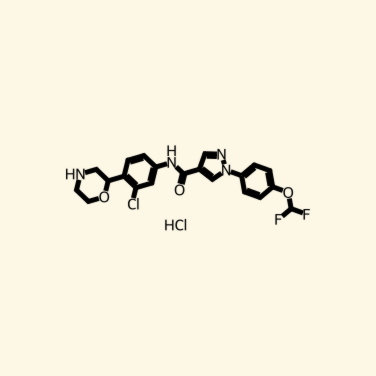 Cl.O=C(Nc1ccc(C2CNCCO2)c(Cl)c1)c1cnn(-c2ccc(OC(F)F)cc2)c1